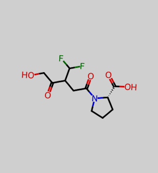 O=C(CO)C(CC(=O)N1CCC[C@H]1C(=O)O)C(F)F